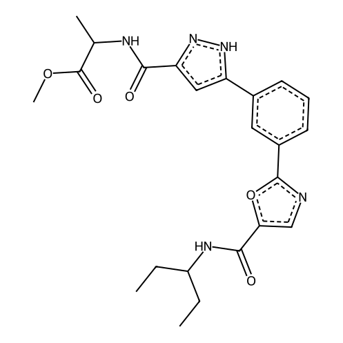 CCC(CC)NC(=O)c1cnc(-c2cccc(-c3cc(C(=O)NC(C)C(=O)OC)n[nH]3)c2)o1